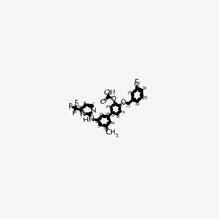 Cc1cc(Nc2nccc(C(F)(F)F)n2)cc(-c2ccc(OCc3cccc(F)c3)c(OC(=O)O)c2)c1